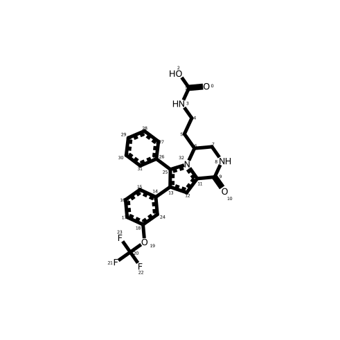 O=C(O)NCCC1CNC(=O)c2cc(-c3cccc(OC(F)(F)F)c3)c(-c3ccccc3)n21